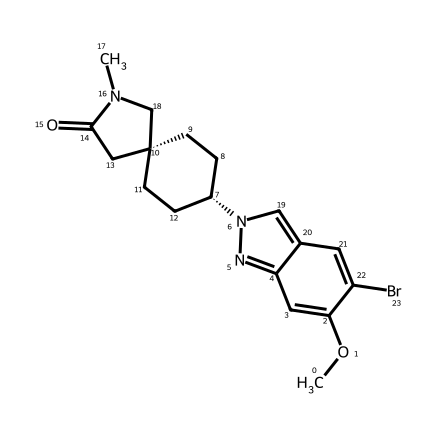 COc1cc2nn([C@H]3CC[C@]4(CC3)CC(=O)N(C)C4)cc2cc1Br